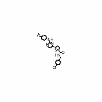 COc1ccc(Nc2nccc(-c3ccc(C(=O)NCc4ccc(Cl)cc4)s3)n2)cc1